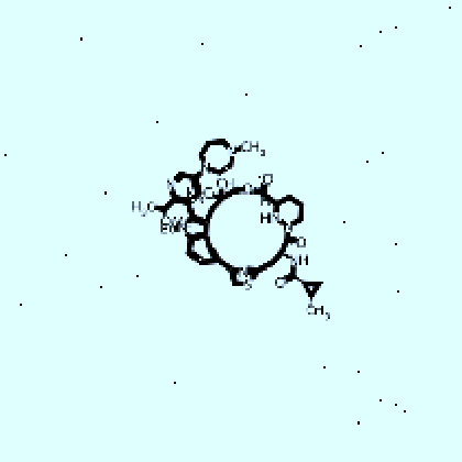 CCn1c(-c2cc(N3CCCN(C)CC3)cnc2[C@H](C)OC)c2c3cc(ccc31)-c1csc(n1)C[C@H](NC(=O)[C@H]1C[C@@H]1C)C(=O)N1CCC[C@H](N1)C(=O)OCC(C)(C)C2